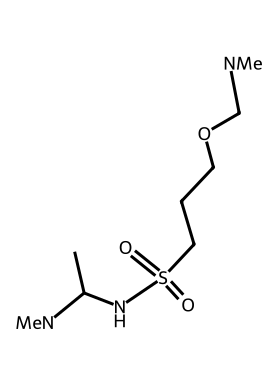 CNCOCCCS(=O)(=O)NC(C)NC